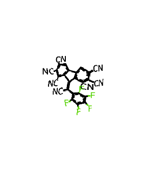 N#CC(=C1c2c(cc(C#N)c(C#N)c2C#N)-c2cc(C#N)c(C#N)c(C#N)c21)c1c(F)c(F)c(F)c(F)c1F